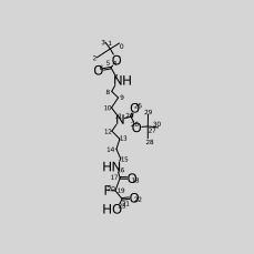 CC(C)(C)OC(=O)NCCCN(CCCCNC(=O)C(F)C(=O)O)C(=O)OC(C)(C)C